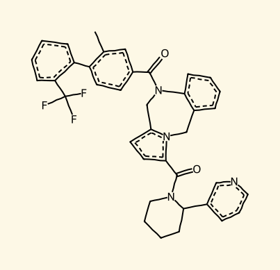 Cc1cc(C(=O)N2Cc3ccc(C(=O)N4CCCCC4c4cccnc4)n3Cc3ccccc32)ccc1-c1ccccc1C(F)(F)F